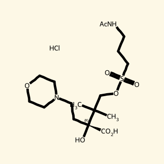 CC(=O)NCCCS(=O)(=O)OCC(C)(C)[C@](O)(CCN1CCOCC1)C(=O)O.Cl